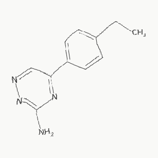 CCc1ccc(-c2cnnc(N)n2)cc1